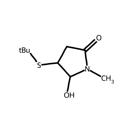 CN1C(=O)CC(SC(C)(C)C)C1O